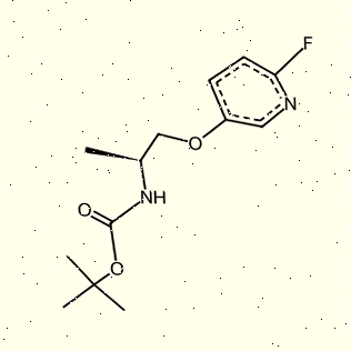 C[C@@H](COc1ccc(F)nc1)NC(=O)OC(C)(C)C